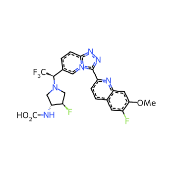 COc1cc2nc(-c3nnc4ccc([C@@H](N5C[C@@H](F)[C@H](NC(=O)O)C5)C(F)(F)F)cn34)ccc2cc1F